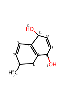 CC1C=CC2=C(C1)C(O)C=CC2O